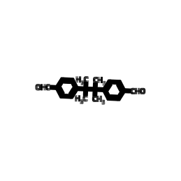 CC(C)(c1ccc(C=O)cc1)C(C)(C)c1ccc(C=O)cc1